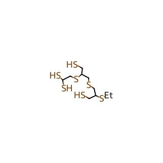 CCSC(CS)CSCC(CS)SCC(S)S